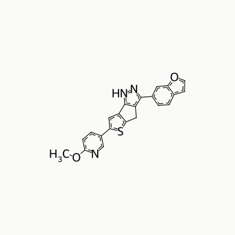 COc1ccc(-c2cc3c(s2)Cc2c(-c4ccc5ccoc5c4)n[nH]c2-3)cn1